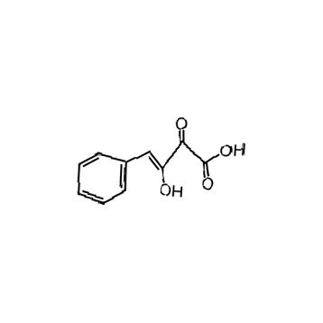 O=C(O)C(=O)C(O)=Cc1ccccc1